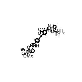 COC(=O)N[C@H](C(=O)N1CCC[C@H]1c1ncc(-c2ccc(C#Cc3ccc(-c4cnc([C@@H]5CCCN5C(=O)[C@@H](N)C(C)C)[nH]4)cc3C(=O)OC)cc2)[nH]1)C(C)C